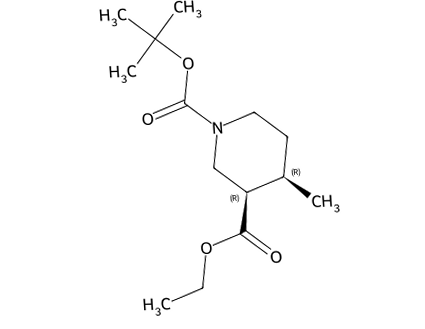 CCOC(=O)[C@H]1CN(C(=O)OC(C)(C)C)CC[C@H]1C